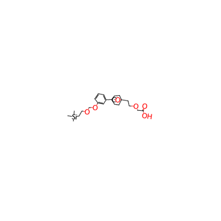 C[Si](C)(C)CCOCOc1cccc(C23CCC(CCOCC(=O)O)(CC2)OC3)c1